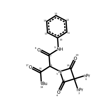 CCCC1(CCC)C(=O)N(C(C(=O)Nc2ccccc2)C(=O)C(C)(C)C)C1=O